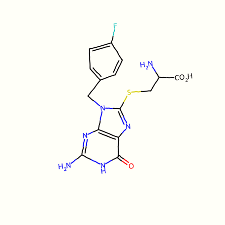 Nc1nc2c(nc(SCC(N)C(=O)O)n2Cc2ccc(F)cc2)c(=O)[nH]1